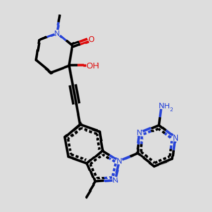 Cc1nn(-c2ccnc(N)n2)c2cc(C#CC3(O)CCCN(C)C3=O)ccc12